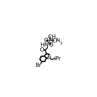 CC(C)Cn1cc(C(=O)CNS(=O)(=O)N(C)C)c2ccc(Br)cc21